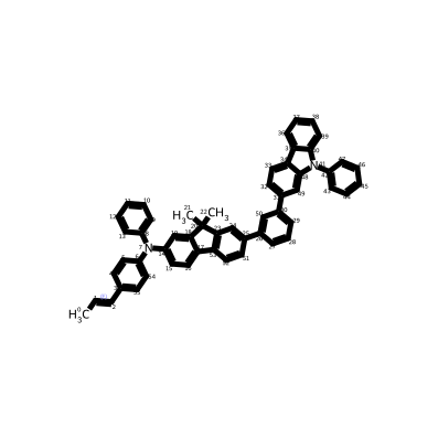 C/C=C/c1ccc(N(c2ccccc2)c2ccc3c(c2)C(C)(C)c2cc(-c4cccc(-c5ccc6c7ccccc7n(-c7ccccc7)c6c5)c4)ccc2-3)cc1